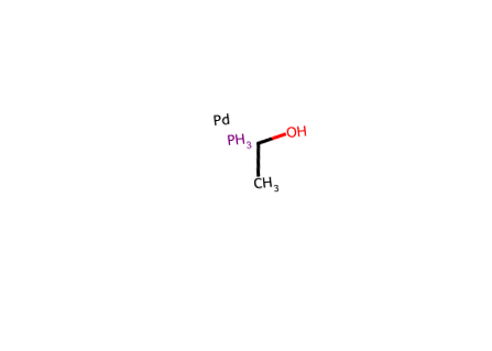 CCO.P.[Pd]